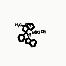 CP(C)C[C]([Hf][CH]1C=Cc2ccccc21)(c1ccccc1)c1ccccc1.Cl.Cl.Cl